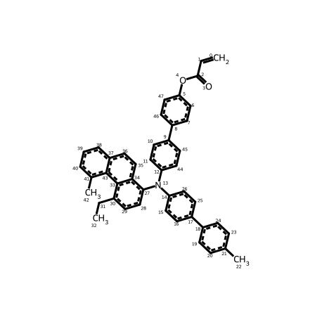 C=CC(=O)Oc1ccc(-c2ccc(N(c3ccc(-c4ccc(C)cc4)cc3)c3ccc(CC)c4c3ccc3cccc(C)c34)cc2)cc1